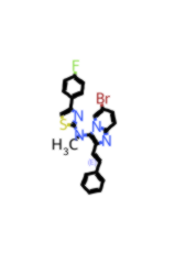 CN(c1nc(-c2ccc(F)cc2)cs1)c1c(/C=C/c2ccccc2)nc2ccc(Br)cn12